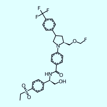 CCS(=O)(=O)c1ccc([C@H](CO)NC(=O)c2ccc(N3CC(c4ccc(C(F)(F)F)cc4)C[C@H]3COCF)cc2)cc1